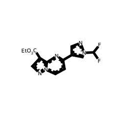 CCOC(=O)c1cnn2ccc(-c3cnn(C(F)F)c3)nc12